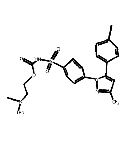 Cc1ccc(-c2cc(C(F)(F)F)nn2-c2ccc(S(=O)(=O)NC(=O)OCCN(C)C(C)(C)C)cc2)cc1